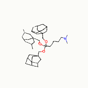 CC1CC2CC(C)CC(CO[Si](CCCCN(C)C)(OCC34CC5CC(CC(C5)C3)C4)OCC34CC5CC6CC(C3)C65C4)(C1)C2